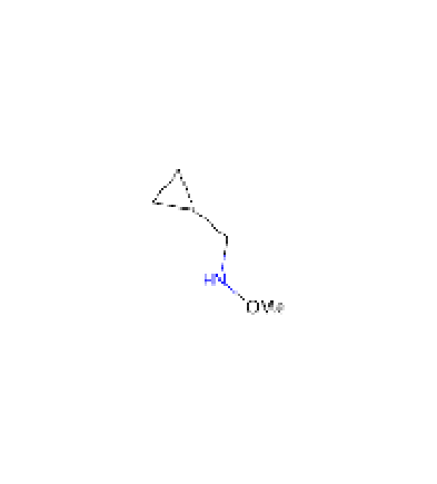 CONCC1CC1